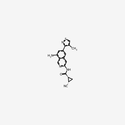 Cc1csnc1-c1cc(N)c2cnc(NC(=O)[C@H]3C[C@@H]3C#N)cc2c1